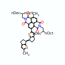 CCCCCCCCCCC(CCCCCCCC)CN1C(=O)c2cc(-c3cc4c(s3)/C(=C3\CCc5cc(C)sc53)CC4)c3c4c(cc(C)c(c24)C1=O)C(=O)N(CC(CCCCCCCC)CCCCCCCCCC)C3=O